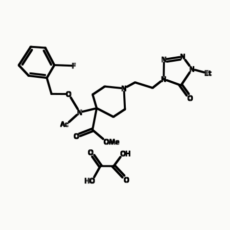 CCn1nnn(CCN2CCC(C(=O)OC)(N(OCc3ccccc3F)C(C)=O)CC2)c1=O.O=C(O)C(=O)O